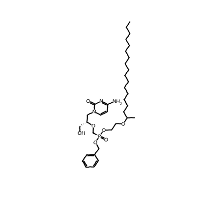 CCCCCCCCCCCCCCCCC(C)OCCO[P@@](=O)(CO[C@H](CO)Cn1ccc(N)nc1=O)OCc1ccccc1